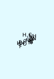 CNCCCn1c(CNc2cccc(C(=O)NCc3c(F)cccc3F)c2)nnc1-c1ccncn1